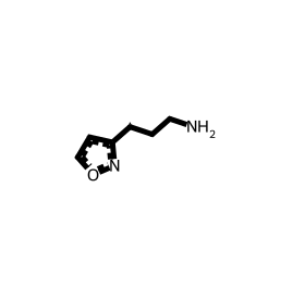 NCC[CH]c1ccon1